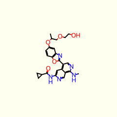 CNc1ncc(-c2nc3cc(OC(C)COCCO)ccc3o2)c2cc(NC(=O)C3CC3)ncc12